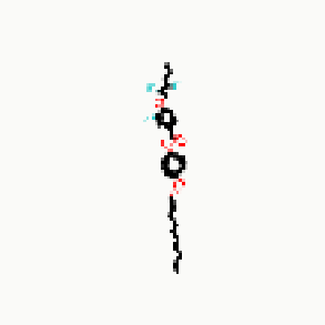 CCCCCCCCCCOc1ccc(OC(=O)c2ccc(OC[C@@H](F)[C@@H](F)CCC)c(F)c2)cc1